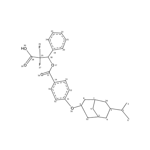 CC(C)C1CC2CC(CC(Oc3ccc(C(=O)OC(c4ccccc4)C(F)(F)C(=O)O)cc3)C2)C1